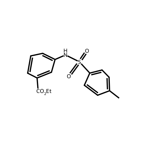 CCOC(=O)c1cccc(NS(=O)(=O)c2ccc(C)cc2)c1